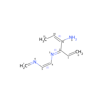 C=CC(=N\C=C/N=C)/C(N)=C\C